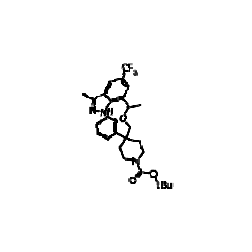 Cc1n[nH]c2c(C(C)OCC3(c4ccccc4)CCN(C(=O)OC(C)(C)C)CC3)cc(C(F)(F)F)cc12